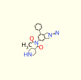 CC(=O)N(C(=O)C1CCNCC1)c1cc2c(c(-c3ccccc3)c1)CN(C#N)C2